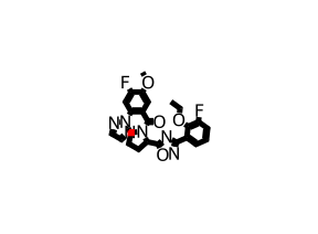 CCOc1c(F)cccc1-c1noc(C2CCCN2C(=O)c2cc(OC)c(F)cc2-n2nccn2)n1